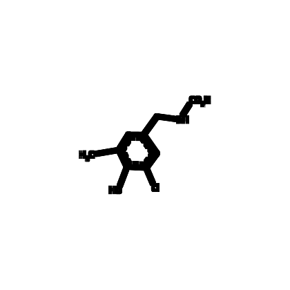 Cc1cc(CNC(=O)O)cc(Cl)c1O